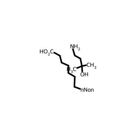 CC(C)(O)CCN.CCCCCCCCCCCCCCCC(=O)O